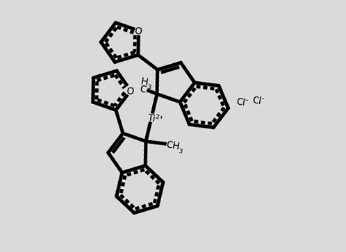 C[C]1([Ti+2][C]2(C)C(c3ccco3)=Cc3ccccc32)C(c2ccco2)=Cc2ccccc21.[Cl-].[Cl-]